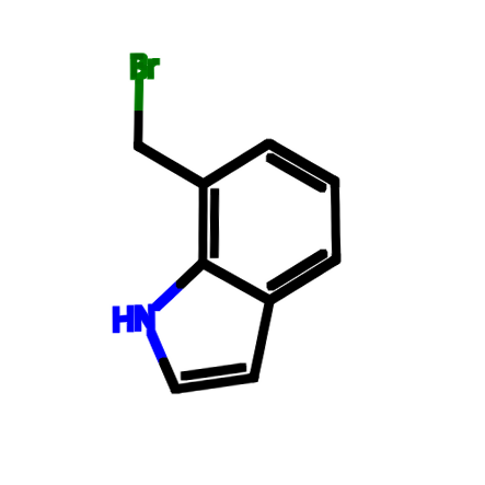 BrCc1cccc2cc[nH]c12